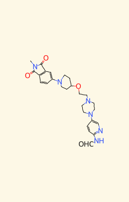 CN1C(=O)c2ccc(N3CCC(OCCN4CCN(c5ccc(NC=O)nc5)CC4)CC3)cc2C1=O